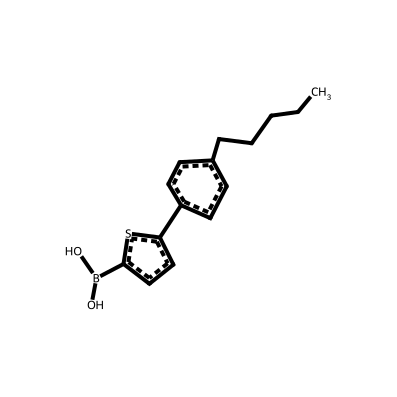 CCCCCc1ccc(-c2ccc(B(O)O)s2)cc1